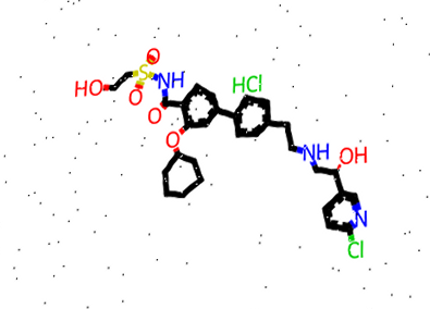 Cl.O=C(NS(=O)(=O)CCO)c1ccc(-c2ccc(CCNC[C@H](O)c3ccc(Cl)nc3)cc2)cc1OC1CCCCC1